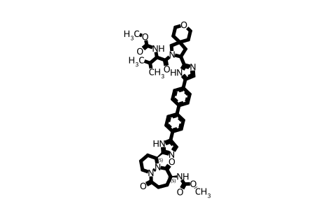 COC(=O)NC(C(=O)N1CC2(CCOCC2)CC1c1ncc(-c2ccc(-c3ccc(-c4cnc([C@@H]5CCCN6C(=O)CC[C@H](NC(=O)OC)C(=O)N56)[nH]4)cc3)cc2)[nH]1)C(C)C